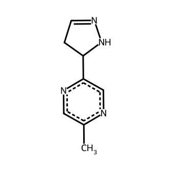 Cc1cnc(C2CC=NN2)cn1